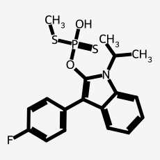 CSP(O)(=S)Oc1c(-c2ccc(F)cc2)c2ccccc2n1C(C)C